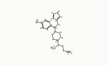 CC(CCN)N1CCC(N(Cc2ccsc2)c2ccc(Cl)nc2)CC1